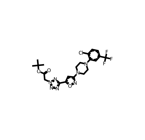 CC(C)(C)OC(=O)Cn1nnc(-c2cc(N3CCN(c4cc(C(F)(F)F)ccc4Cl)CC3)no2)n1